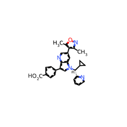 Cc1noc(C)c1-c1cnc2c(-c3ccc(C(=O)O)cc3)cn([C@@H](c3ccccn3)C3CC3)c2c1